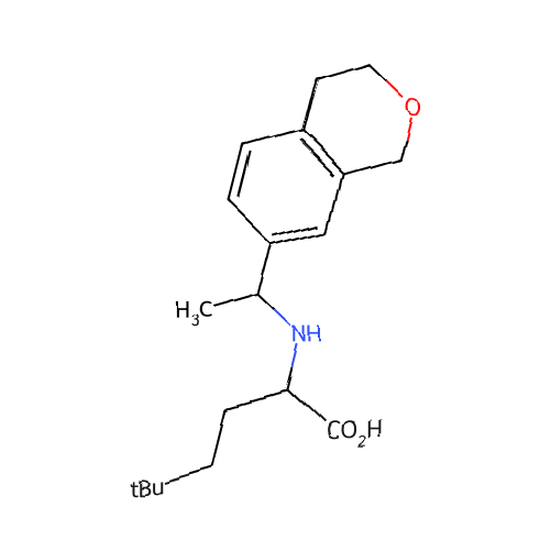 CC(NC(CCC(C)(C)C)C(=O)O)c1ccc2c(c1)COCC2